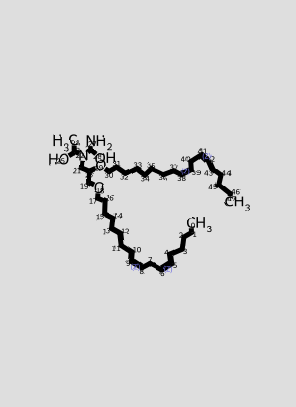 CCCCC/C=C\C/C=C\CCCCCCCCOCC(CN(C(C)O)C(N)O)OCCCCCCCC/C=C\C/C=C\CCCCC